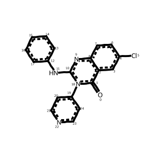 O=c1c2cc(Cl)ccc2nc(Nc2ccccc2)n1-c1ccncc1